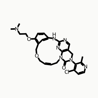 Cc1nccc(Cl)c1N1Cc2cnc3nc2N(C/C=C\COCc2cc(ccc2OCCN(C)C)N3)C1=O